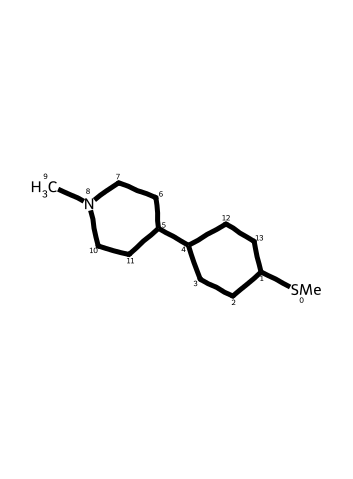 CSC1CCC(C2CCN(C)CC2)CC1